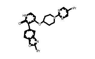 CCCc1cnc(N2CCC(Oc3cc[nH]c(=O)c3-c3ccc4oc(C(C)C)nc4c3)CC2)nc1